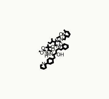 CCC(C)C(C(=O)NC(Cc1ccccc1)CC(O)C(Cc1ccc(-c2ccccn2)cc1)NC(=O)C(NC(=O)OC)C(C)(C)C)N1CC(=O)N(Cc2cccc(C)n2)C1=O